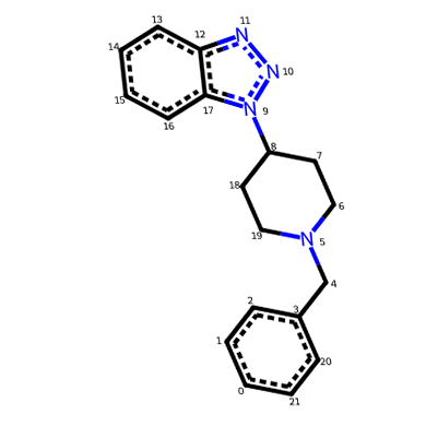 c1ccc(CN2CCC(n3nnc4ccccc43)CC2)cc1